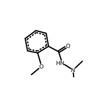 COc1ccccc1C(=O)NN(C)C